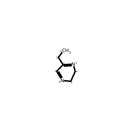 CCC1=NCCN=C1